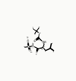 CC(C)C[C@H](NC(=O)OC(C)(C)C)C(=O)NS(C)(=O)=O